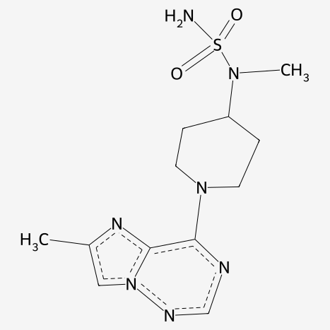 Cc1cn2ncnc(N3CCC(N(C)S(N)(=O)=O)CC3)c2n1